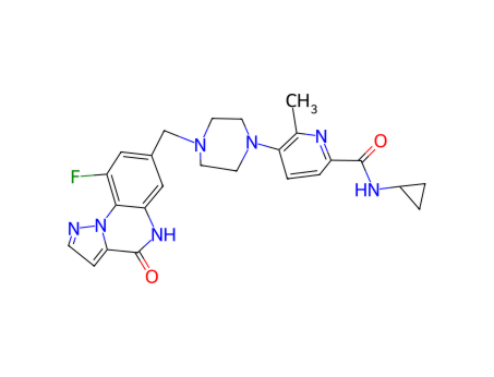 Cc1nc(C(=O)NC2CC2)ccc1N1CCN(Cc2cc(F)c3c(c2)[nH]c(=O)c2ccnn23)CC1